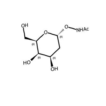 CC(=O)NO[C@@H]1C[C@@H](O)[C@@H](O)[C@@H](CO)O1